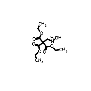 CCOC(=O)C(CNO)(C(=O)OCC)C(=O)OCC